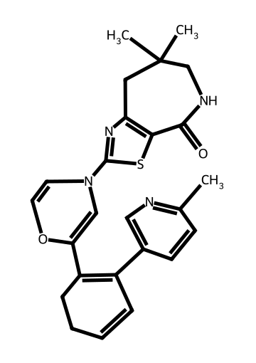 Cc1ccc(C2=C(C3=CN(c4nc5c(s4)C(=O)NCC(C)(C)C5)C=CO3)CCC=C2)cn1